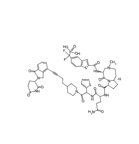 CN1CC[C@H]2CC[C@@H](C(=O)NC(CCC(N)=O)C(=O)NC(C(=O)N3CCC(CCC#Cc4cccc5c4CN(C4CCC(=O)NC4=O)C5=O)CC3)c3cccs3)N2C(=O)[C@@H](NC(=O)c2cc3cc(C(F)(F)P(=O)(O)O)ccc3s2)C1